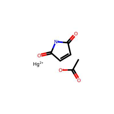 CC(=O)[O-].O=C1C=CC(=O)[N-]1.[Hg+2]